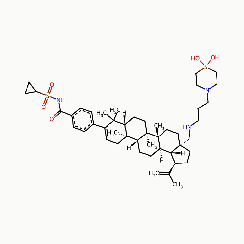 C=C(C)[C@@H]1CC[C@]2(CNCCCN3CCS(O)(O)CC3)CC[C@]3(C)[C@H](CC[C@@H]4[C@@]5(C)CC=C(c6ccc(C(=O)NS(=O)(=O)C7CC7)cc6)C(C)(C)[C@@H]5CC[C@]43C)[C@@H]12